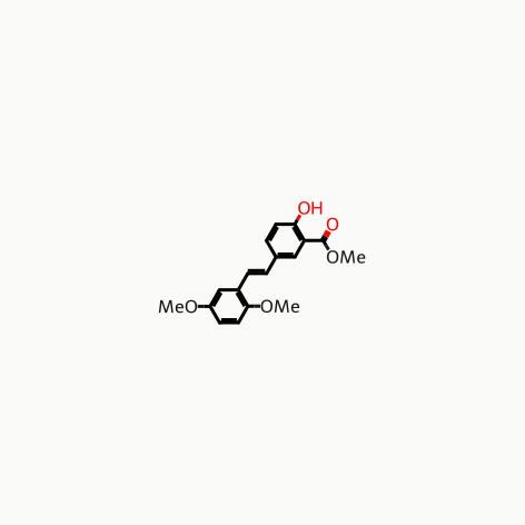 COC(=O)c1cc(/C=C/c2cc(OC)ccc2OC)ccc1O